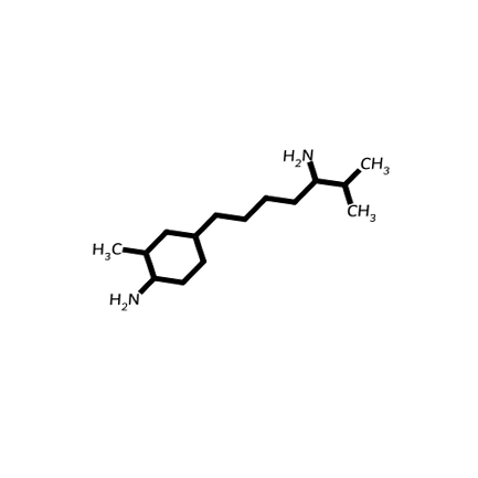 CC(C)C(N)CCCCC1CCC(N)C(C)C1